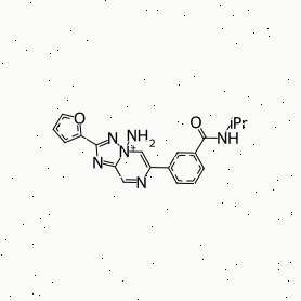 CC(C)NC(=O)c1cccc(C2=C[N+]3(N)N=C(c4ccco4)N=C3C=N2)c1